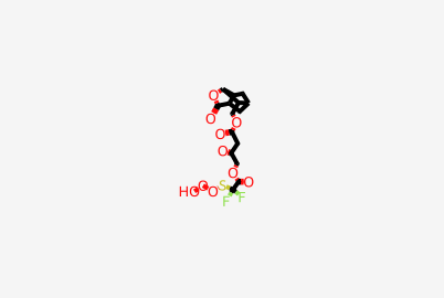 O=C(COC(=O)C(F)(F)SOOO)CC(=O)OCC1C2CC3C(=O)OC1C3C2